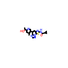 Cc1cc(C(C)O)ncc1-c1cc2nc(NC(=O)C3CC3)sc2n2ncnc12